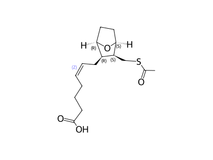 CC(=O)SC[C@H]1[C@@H](C/C=C\CCCC(=O)O)[C@H]2CC[C@@H]1O2